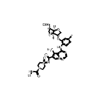 CCNC(=O)N1CCS(=O)(=NC(=O)c2cn3ncnc(Nc4ccc(F)cc4O[C@@H]4CO[C@H]5[C@@H]4OC[C@H]5OC)c3c2C)CC1